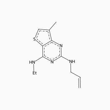 C=CCNc1nc(NCC)c2scc(C)c2n1